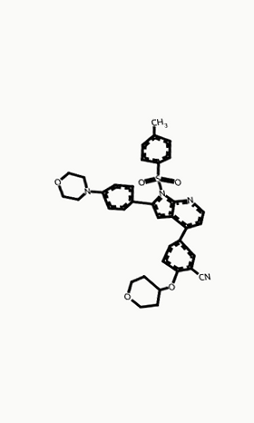 Cc1ccc(S(=O)(=O)n2c(-c3ccc(N4CCOCC4)cc3)cc3c(-c4ccc(OC5CCOCC5)c(C#N)c4)ccnc32)cc1